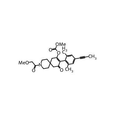 CC#Cc1cc(C)c(C2=C(OC(=O)OC)CC3(CCN(C(=O)COC)CC3)CC2=O)c(C)c1